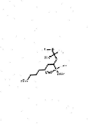 CCCCCCCCCCCCCCCC(CC(C)(C)NCCC)[Si](OC)(OC)OC